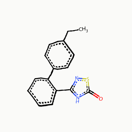 CCc1ccc(-c2ccccc2-c2nsc(=O)[nH]2)cc1